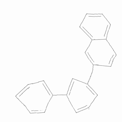 [c]1cc(-c2ccccc2)cc(-c2ccc3ccccc3c2)c1